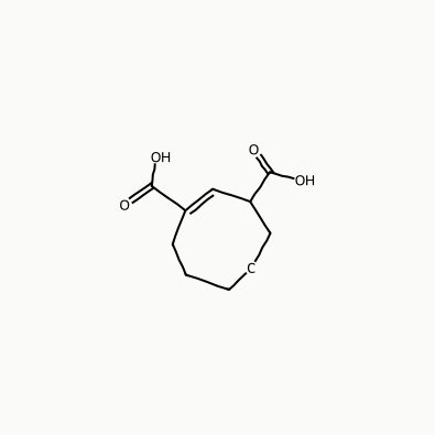 O=C(O)C1=CC(C(=O)O)CCCCC1